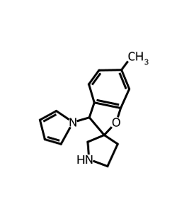 Cc1ccc2c(c1)OC1(CCNC1)C2n1cccc1